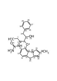 CCN(NC(N)=O)C(Oc1cccc2sc3nc(C)cn3c12)C(O)Cc1ccccc1